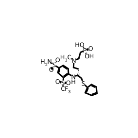 CN(CC[C@H](CSc1ccccc1)Nc1ccc(S(N)(=O)=O)cc1S(=O)(=O)C(F)(F)F)CCP(=O)(O)O